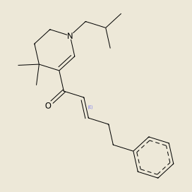 CC(C)CN1C=C(C(=O)/C=C/CCc2ccccc2)C(C)(C)CC1